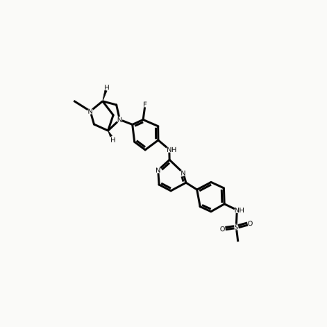 CN1C[C@@H]2C[C@H]1CN2c1ccc(Nc2nccc(-c3ccc(NS(C)(=O)=O)cc3)n2)cc1F